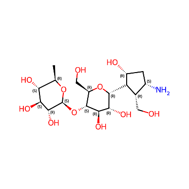 C[C@H]1O[C@@H](O[C@H]2[C@H](O)[C@@H](O)[C@@H](C3[C@H](O)C[C@H](N)[C@@H]3CO)O[C@@H]2CO)[C@H](O)[C@@H](O)[C@@H]1O